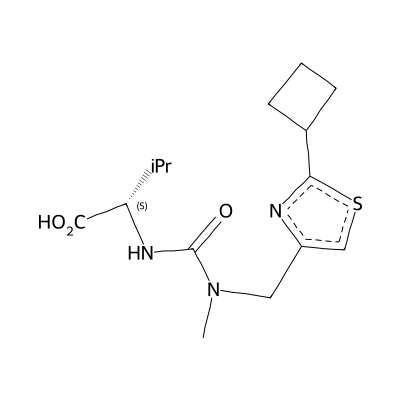 CC(C)[C@H](NC(=O)N(C)Cc1csc(C2CCC2)n1)C(=O)O